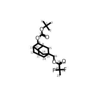 CC(C)(C)OC(=O)OC1C2CC3CC1CC(COC(=O)C(C)(F)F)(C3)C2